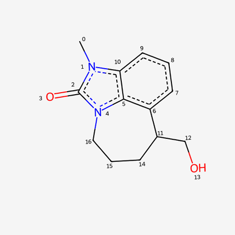 Cn1c(=O)n2c3c(cccc31)C(CO)CCC2